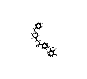 Cc1ncnc(Nc2ccc(C(=O)CCC3CCN(Cc4ccccc4)CC3)cc2)c1C